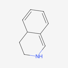 C1=CC2=CNCCC2C=C1